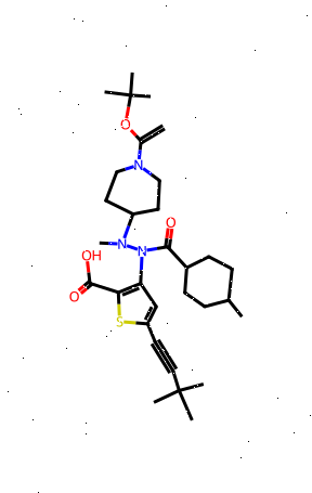 C=C(OC(C)(C)C)N1CCC(N(C)N(C(=O)C2CCC(C)CC2)c2cc(C#CC(C)(C)C)sc2C(=O)O)CC1